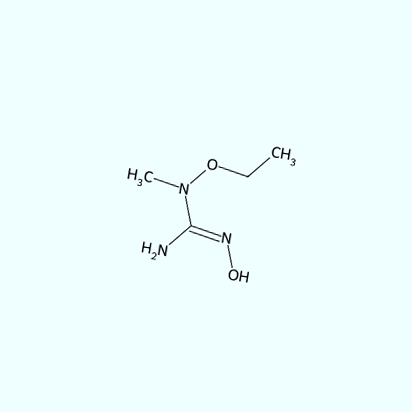 CCON(C)C(N)=NO